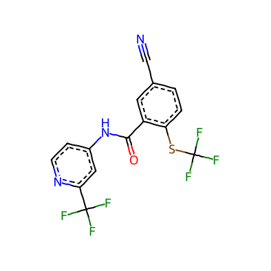 N#Cc1ccc(SC(F)(F)F)c(C(=O)Nc2ccnc(C(F)(F)F)c2)c1